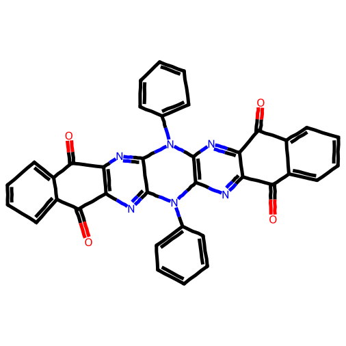 O=c1c2ccccc2c(=O)c2nc3c(nc12)n(-c1ccccc1)c1nc2c(=O)c4ccccc4c(=O)c2nc1n3-c1ccccc1